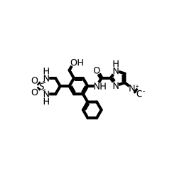 [C-]#[N+]c1c[nH]c(C(=O)Nc2cc(CO)c(C3CNS(=O)(=O)NC3)cc2C2=CCCCC2)n1